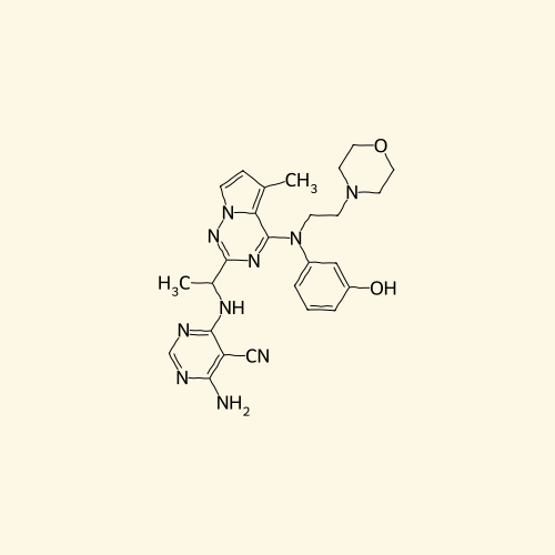 Cc1ccn2nc(C(C)Nc3ncnc(N)c3C#N)nc(N(CCN3CCOCC3)c3cccc(O)c3)c12